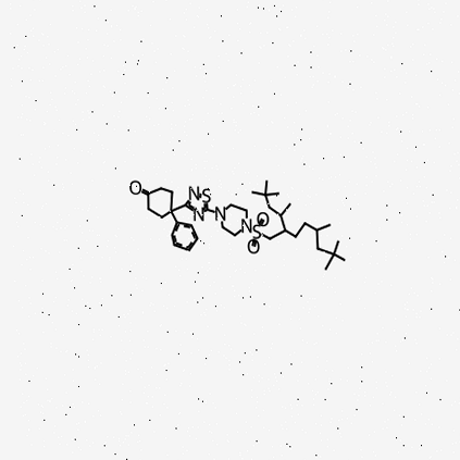 CC(CCC(CS(=O)(=O)N1CCN(c2nc(C3(c4ccccc4)CCC(=O)CC3)ns2)CC1)C(C)CC(C)(C)C)CC(C)(C)C